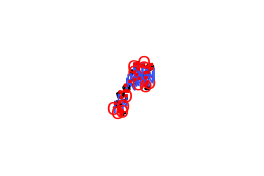 CC(C)[C@H](NC(=O)OC(C)(C)C)C(=O)Oc1ccccc1-c1cc(-n2cc(N3CCN(C4CCC(c5cccc6c5OCCN6[C@H]5CCC(=O)N(C(=O)OC(C)(C)C)C5=O)CC4)CC3=O)cn2)c(NC(=O)OC(C)(C)C)nn1